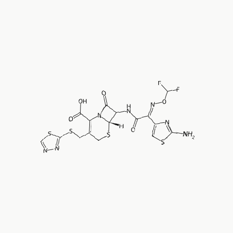 Nc1nc(C(=NOC(F)F)C(=O)NC2C(=O)N3C(C(=O)O)=C(CSc4nncs4)CS[C@@H]23)cs1